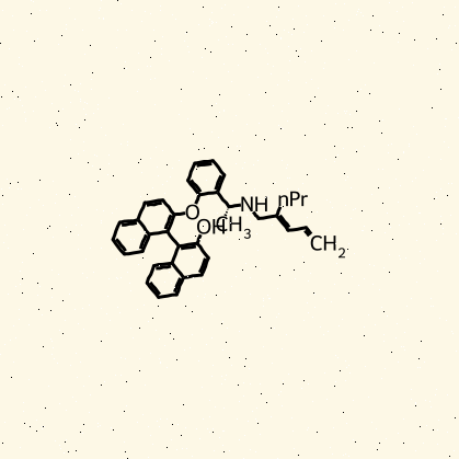 C=C/C=C(\CCC)CN[C@H](C)c1ccccc1Oc1ccc2ccccc2c1-c1c(O)ccc2ccccc12